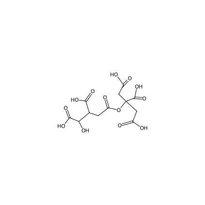 O=C(O)CC(CC(=O)O)(OC(=O)CC(C(=O)O)C(O)C(=O)O)C(=O)O